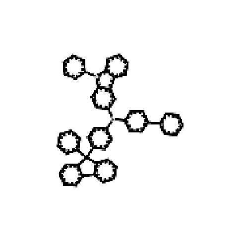 c1ccc(-c2ccc(N(c3ccc(C4(c5ccccc5)c5ccccc5-c5ccccc54)cc3)c3ccc4c(c3)c3ccccc3n4-c3ccccc3)cc2)cc1